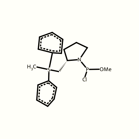 COP(Cl)N1CCC[C@H]1CS(C)(c1ccccc1)c1ccccc1